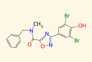 CN(Cc1ccccc1)C(=O)c1nc(-c2cc(Br)c(O)c(Br)c2)no1